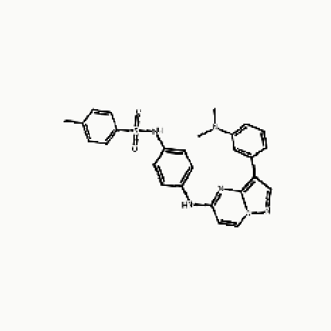 Cc1ccc(S(=O)(=O)Nc2ccc(Nc3ccn4ncc(-c5cccc(N(C)C)c5)c4n3)cc2)cc1